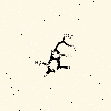 Cn1c(CC(N)C(=O)O)nc2c1c(=O)[nH]c(=O)n2C